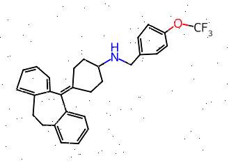 FC(F)(F)Oc1ccc(CNC2CCC(=C3c4ccccc4CCc4ccccc43)CC2)cc1